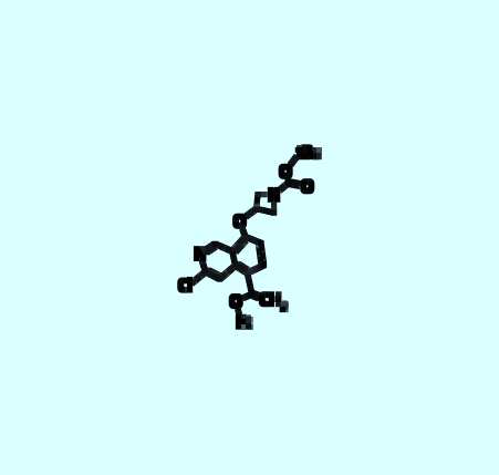 C=C(OCC)c1ccc(OC2CN(C(=O)OC(C)(C)C)C2)c2cnc(Cl)cc12